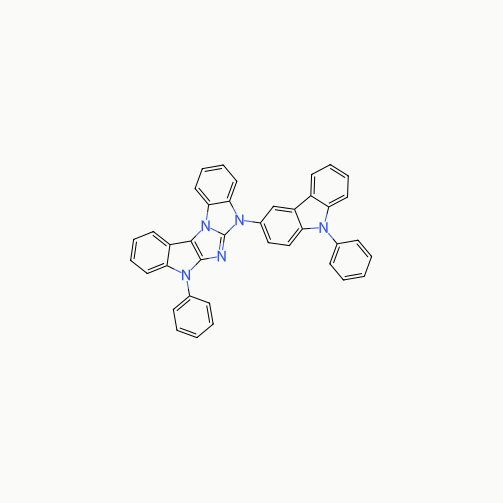 c1ccc(-n2c3ccccc3c3cc(-n4c5ccccc5n5c6c7ccccc7n(-c7ccccc7)c6nc45)ccc32)cc1